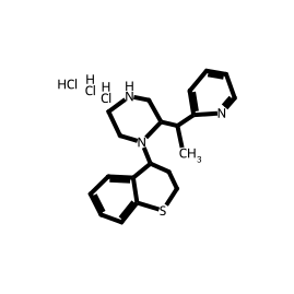 CC(c1ccccn1)C1CNCCN1C1CCSc2ccccc21.Cl.Cl.Cl